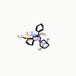 Cc1nc2ccccc2n1[C@H]1C[C@H]2CC[C@@H](C1)N2CCC(CNS(=O)(=O)CC(F)(F)F)c1ccccc1